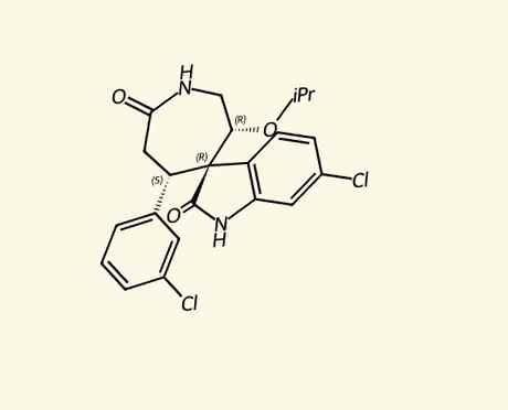 CC(C)O[C@H]1CNC(=O)C[C@@H](c2cccc(Cl)c2)[C@]12C(=O)Nc1cc(Cl)ccc12